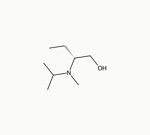 CC[C@H](CO)N(C)C(C)C